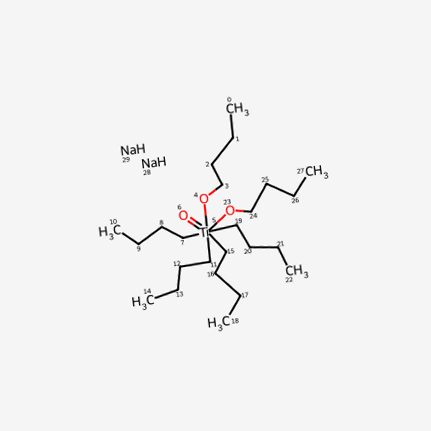 CCCC[O][Ti](=[O])([CH2]CCC)([CH2]CCC)([CH2]CCC)([CH2]CCC)[O]CCCC.[NaH].[NaH]